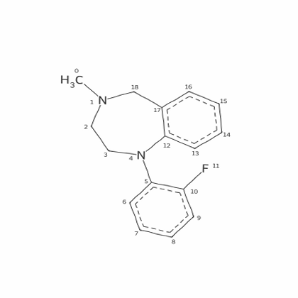 CN1CCN(c2ccccc2F)c2ccccc2C1